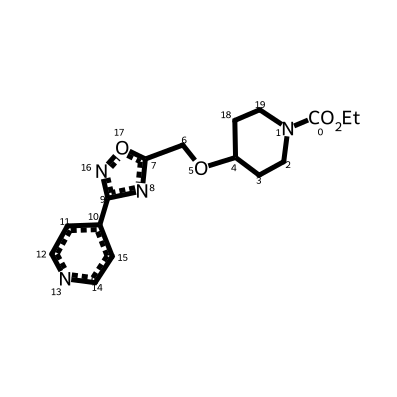 CCOC(=O)N1CCC(OCc2nc(-c3ccncc3)no2)CC1